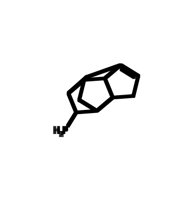 PC1C2CC3C1CC1=CCC2C13